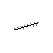 [CH2]CCCCCC=CCC=CCCC=C